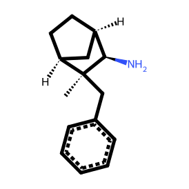 C[C@]1(Cc2ccccc2)[C@H]2CC[C@H](C2)[C@H]1N